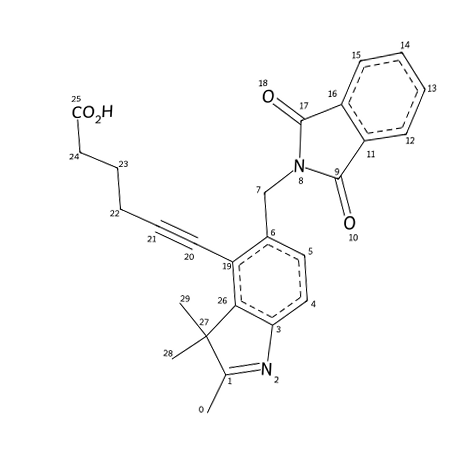 CC1=Nc2ccc(CN3C(=O)c4ccccc4C3=O)c(C#CCCCC(=O)O)c2C1(C)C